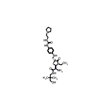 CCN1C(=O)[C@@H](CNc2ccc(NC(=O)NCCN3CCCC3)cc2)S/C1=C(/N)C(=O)NCC(C)(C)CO